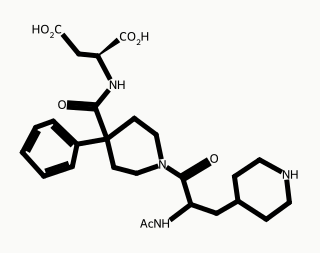 CC(=O)NC(CC1CCNCC1)C(=O)N1CCC(C(=O)N[C@@H](CC(=O)O)C(=O)O)(c2ccccc2)CC1